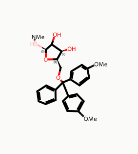 CNB[C@@H]1O[C@H](COC(c2ccccc2)(c2ccc(OC)cc2)c2ccc(OC)cc2)[C@H](O)C1O